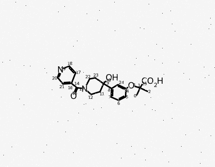 CC(C)(Oc1cccc(C2(O)CCN(C(=O)c3ccncc3)CC2)c1)C(=O)O